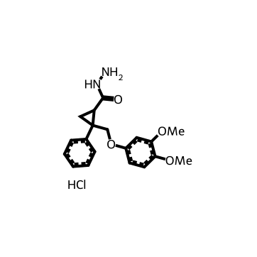 COc1ccc(OCC2(c3ccccc3)CC2C(=O)NN)cc1OC.Cl